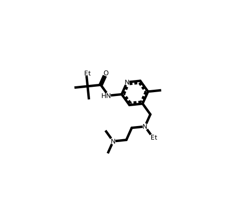 CCN(CCN(C)C)Cc1cc(NC(=O)C(C)(C)CC)ncc1C